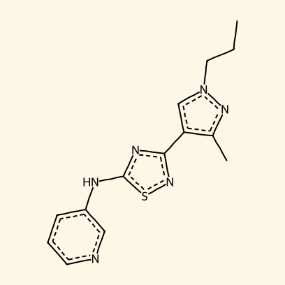 CCCn1cc(-c2nsc(Nc3cccnc3)n2)c(C)n1